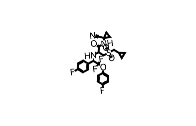 N#CC1(NC(=O)C(CS(=O)(=O)CC2CC2)N[C@H](c2ccc(F)cc2)C(F)(F)Oc2ccc(F)cc2)CC1